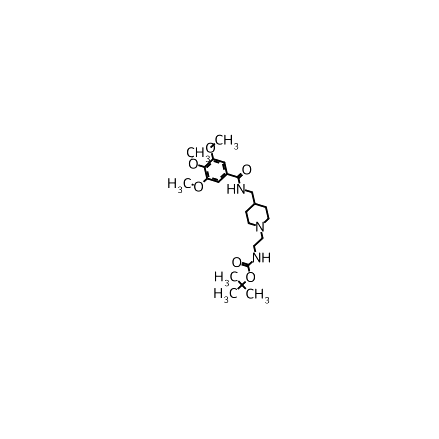 COc1cc(C(=O)NCC2CCN(CCNC(=O)OC(C)(C)C)CC2)cc(OC)c1OC